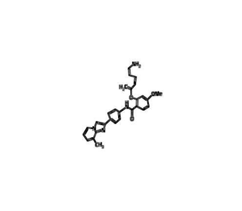 C=C(/C=C\C=C/N)Oc1cc(OC)ccc1C(=O)Nc1ccc(-c2cn3cccc(C)c3n2)cc1